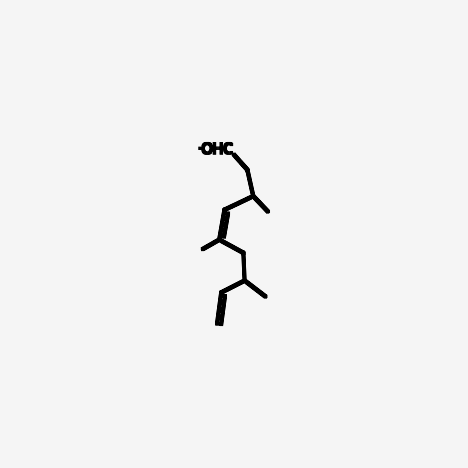 C=CC(C)CC(C)=CC(C)C[C]=O